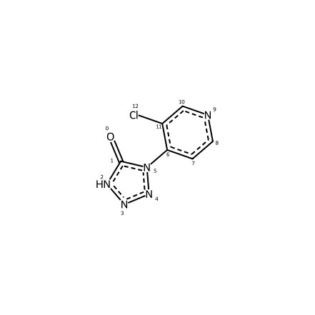 O=c1[nH]nnn1-c1ccncc1Cl